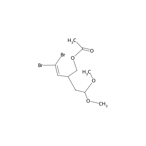 COC(CC(C=C(Br)Br)COC(C)=O)OC